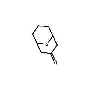 O=C1CC2CCCC(C1)S2